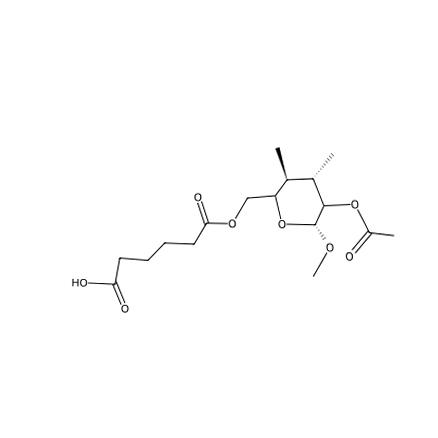 CO[C@@H]1OC(COC(=O)CCCCC(=O)O)[C@@H](C)[C@H](C)C1OC(C)=O